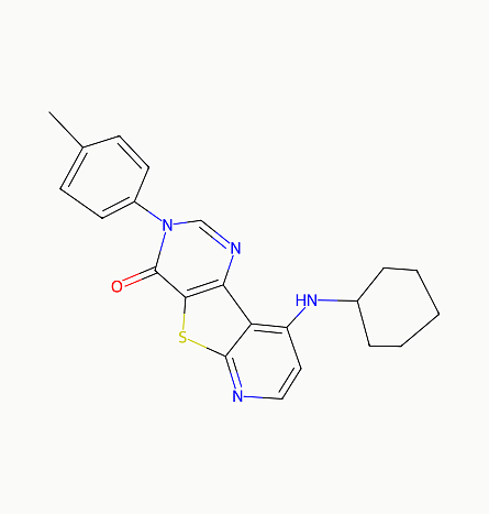 Cc1ccc(-n2cnc3c(sc4nccc(NC5CCCCC5)c43)c2=O)cc1